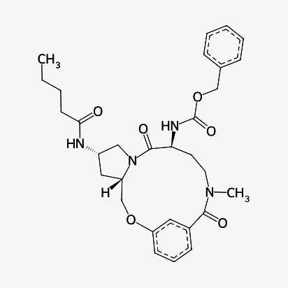 CCCCC(=O)N[C@H]1C[C@H]2COc3cccc(c3)C(=O)N(C)CC[C@H](NC(=O)OCc3ccccc3)C(=O)N2C1